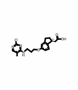 Cc1cnc(Cl)nc1NCCCOc1ccc2c(c1)CC[C@H]2CC(=O)O